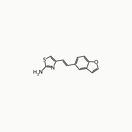 Nc1nc(/C=C/c2ccc3occc3c2)cs1